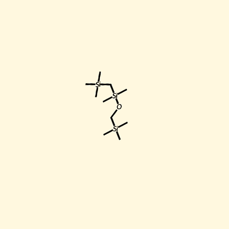 C[Si](C)(C)CO[Si](C)(C)C[Si](C)(C)C